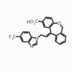 O=C(O)c1ccc2c(c1)C(=CCn1cnc3cc(C(F)(F)F)ccc31)c1ccccc1CO2